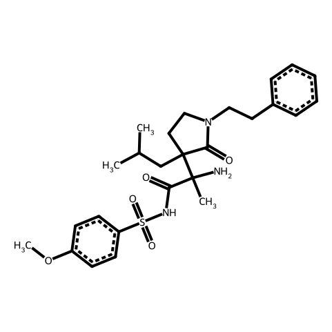 COc1ccc(S(=O)(=O)NC(=O)C(C)(N)C2(CC(C)C)CCN(CCc3ccccc3)C2=O)cc1